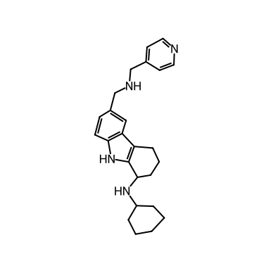 c1cc(CNCc2ccc3[nH]c4c(c3c2)CCCC4NC2CCCCC2)ccn1